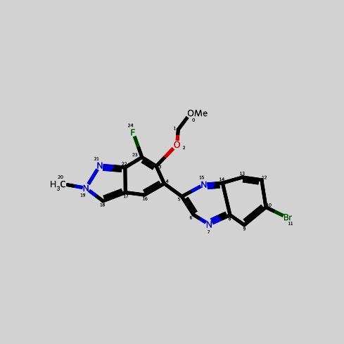 COCOc1c(-c2cnc3cc(Br)ccc3n2)cc2cn(C)nc2c1F